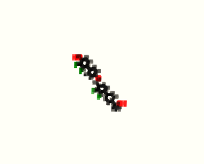 CCCC(O)C1CCC(c2ccc(COc3ccc(-c4ccc(O)c(F)c4F)cc3)c(F)c2F)CC1